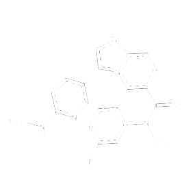 CN(C(=O)c1ccc2ncc(-c3ccc(NC(=O)O)nc3)n2c1)c1cccc(I)c1